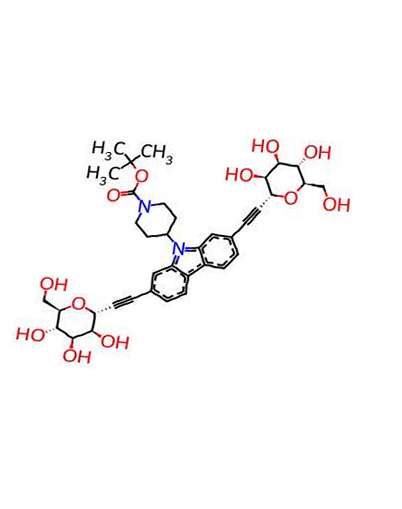 CC(C)(C)OC(=O)N1CCC(n2c3cc(C#C[C@H]4O[C@H](CO)[C@@H](O)[C@H](O)[C@@H]4O)ccc3c3ccc(C#C[C@H]4O[C@H](CO)[C@@H](O)[C@H](O)[C@@H]4O)cc32)CC1